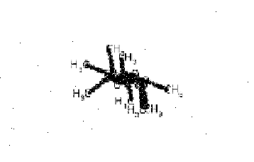 CCCCCCCCCCCCOc1cc(Cn2c(=O)c3cc4cc(CCCCCCCC)c5cc6c(=O)n(Cc7cc(OCCCCCCCCCCCC)c(OCCCCCCCCCCCC)c(OCCCCCCCCCCCC)c7)c(=O)c7cc8cc(CCCCCCCC)c9cc(c2=O)c3c2c4c5c(c76)c8c92)cc(OCCCCCCCCCCCC)c1OCCCCCCCCCCCC